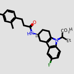 CCC(C(=O)O)n1c2c(c3cc(F)ccc31)C[C@@H](NC(=O)CCc1ccc(C)cc1C)CC2